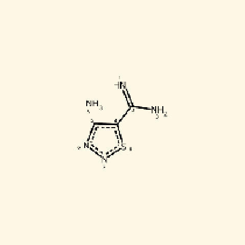 N.N=C(N)c1cnns1